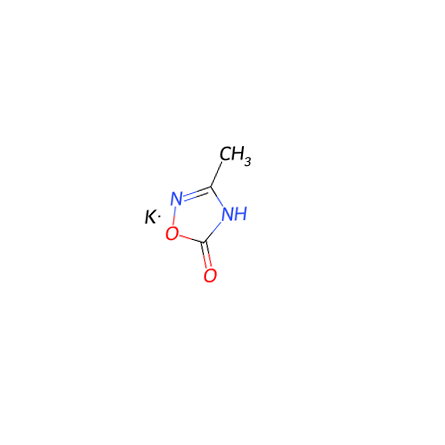 Cc1noc(=O)[nH]1.[K]